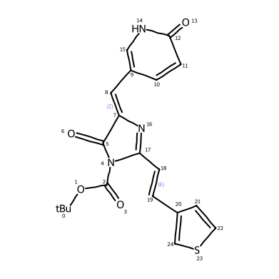 CC(C)(C)OC(=O)N1C(=O)/C(=C/c2ccc(=O)[nH]c2)N=C1/C=C/c1ccsc1